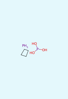 C1CCC1.OP(O)O.P